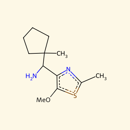 COc1sc(C)nc1C(N)C1(C)CCCC1